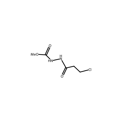 COC(=O)NNC(=O)CCCl